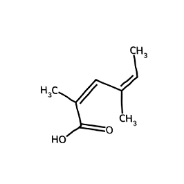 CC=C(C)C=C(C)C(=O)O